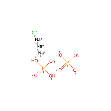 O=P([O-])(O)O.O=P([O-])(O)O.[Cl-].[Na+].[Na+].[Na+]